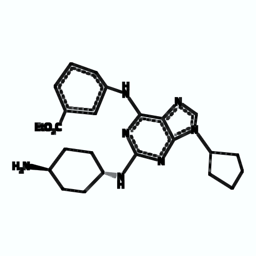 CCOC(=O)c1cccc(Nc2nc(N[C@H]3CC[C@H](N)CC3)nc3c2ncn3C2CCCC2)c1